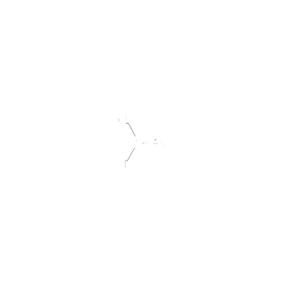 Cl[Se]Cl.[As]